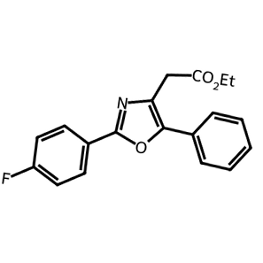 CCOC(=O)Cc1nc(-c2ccc(F)cc2)oc1-c1ccccc1